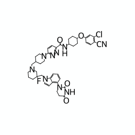 N#Cc1ccc(OC2CCC(NC(=O)c3ccc(N4CCC(CN5CCCC(F)(Cn6ccc7c(N8CCC(=O)NC8=O)cccc76)C5)CC4)nn3)CC2)cc1Cl